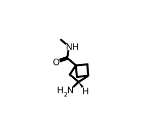 CNC(=O)C12CC(C1)[C@H](N)C2